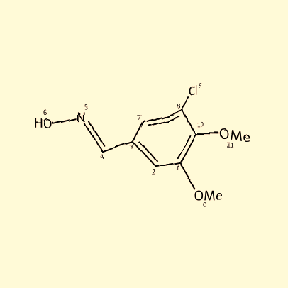 COc1cc(C=NO)cc(Cl)c1OC